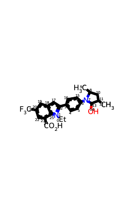 CCn1c(-c2ccc(N3C(C)CC(C)C3O)cc2)cc2cc(C(F)(F)F)cc(C(=O)O)c21